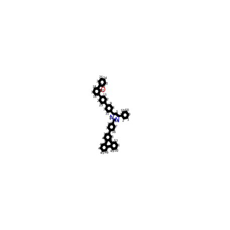 c1ccc(-c2cc(-c3ccc(-c4ccc(-c5cccc6c5oc5ccccc56)cc4)cc3)nc(-c3ccc(-c4ccc5c6ccccc6c6ccccc6c5c4)cc3)n2)cc1